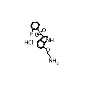 Cl.NCCOc1cccc2c(S(=O)(=O)c3ccccc3F)c[nH]c12